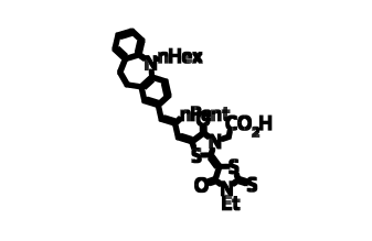 CCCCCCN1c2ccccc2CCc2cc(/C=C(/C=c3/s/c(=C4/SC(=S)N(CC)C4=O)n(CC(=O)O)c3=O)CCCCC)ccc21